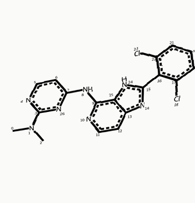 CN(C)c1nccc(Nc2nccc3nc(-c4c(Cl)cccc4Cl)[nH]c23)n1